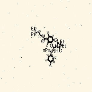 CCCC(NC(=O)N1C(=O)C(CC)(CC)C1Oc1cc(C)c(C(=O)OCCN(CC)CC)c(C)c1)c1ccc(C)cc1